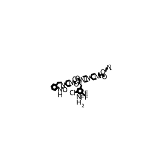 CN(C)CCOC(=O)C(C)(C)N1CCC(N2CCN(C(=O)[C@@H](Cc3cc(Cl)c(N)c(C(F)(F)F)c3)OC(=O)N3CCC(N4CCc5ccccc5NC4=O)CC3)CC2)CC1